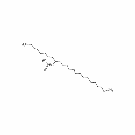 CCCCCCCCCCCCCCCC(CCCCCCCC)O[PH](=O)O